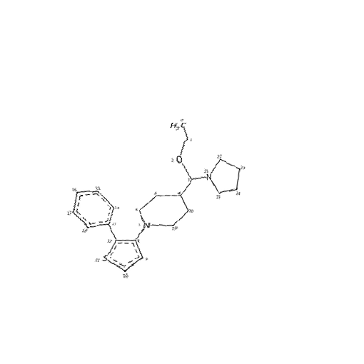 CCOC(C1CCN(c2ccsc2-c2ccccc2)CC1)N1CCCC1